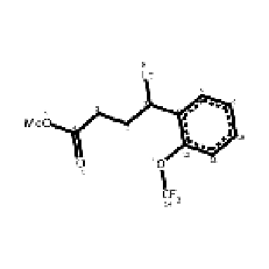 CCC(CCC(=O)OC)c1ccccc1OC(F)(F)F